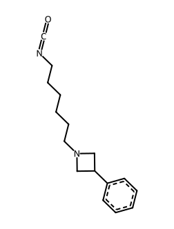 O=C=NCCCCCCN1CC(c2ccccc2)C1